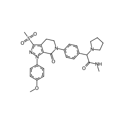 CNC(=O)C(c1ccc(N2CCc3c(S(C)(=O)=O)nn(-c4ccc(OC)cc4)c3C2=O)cc1)N1CCCC1